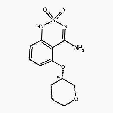 NC1=NS(=O)(=O)Nc2cccc(O[C@H]3CCCOC3)c21